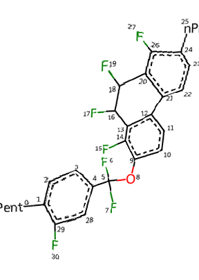 CCCCCc1ccc(C(F)(F)Oc2ccc3c(c2F)C(F)C(F)c2c-3ccc(CCC)c2F)cc1F